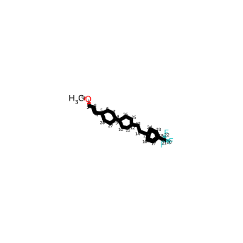 COC/C=C/C1CCC(C2CCC(CCc3ccc(C(F)(F)F)cc3)CC2)CC1